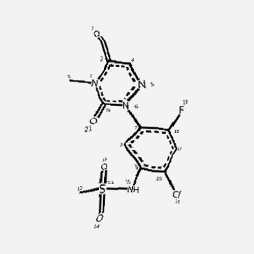 Cn1c(=O)cnn(-c2cc(NS(C)(=O)=O)c(Cl)cc2F)c1=O